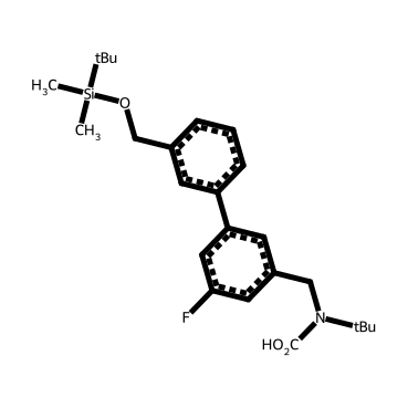 CC(C)(C)N(Cc1cc(F)cc(-c2cccc(CO[Si](C)(C)C(C)(C)C)c2)c1)C(=O)O